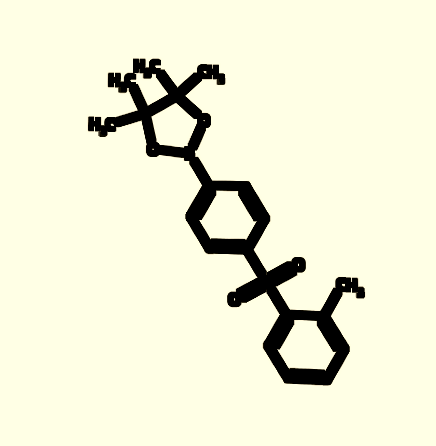 Cc1ccccc1S(=O)(=O)c1ccc(B2OC(C)(C)C(C)(C)O2)cc1